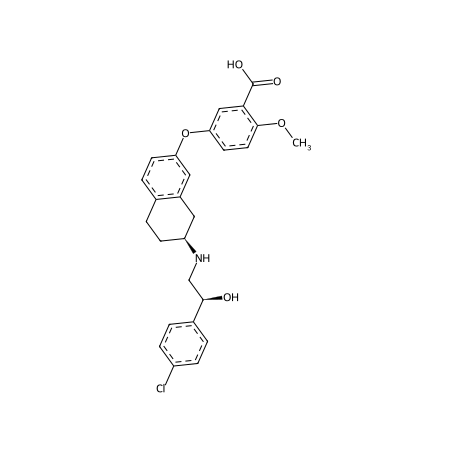 COc1ccc(Oc2ccc3c(c2)C[C@@H](NC[C@@H](O)c2ccc(Cl)cc2)CC3)cc1C(=O)O